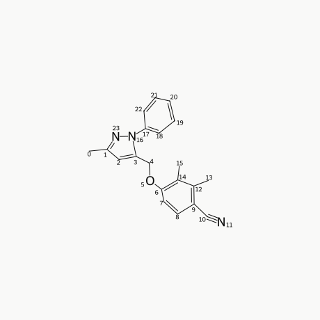 Cc1cc(COc2ccc(C#N)c(C)c2C)n(-c2ccccc2)n1